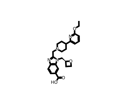 CCOc1cccc(C2CCN(Cc3nc4ccc(C(=O)O)cc4n3C[C@@H]3CCO3)CC2)n1